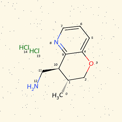 C[C@H]1COc2cccnc2[C@@H]1CN.Cl.Cl